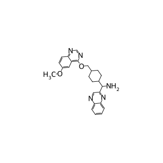 COc1ccc2ncnc(OCC3CCC(C(N)c4cnc5ccccc5n4)CC3)c2c1